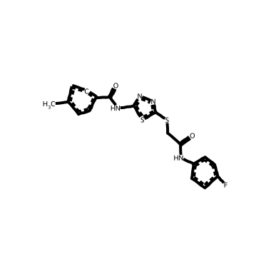 Cc1ccc(C(=O)Nc2nnc(SCC(=O)Nc3ccc(F)cc3)s2)cc1